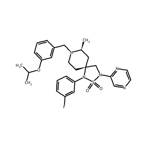 CC(C)Oc1cccc(CN2CC[C@@]3(C[C@@H]2C)CN(c2cnccn2)S(=O)(=O)N3c2cccc(F)c2)c1